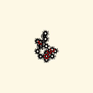 c1ccc(-c2cc(-c3ccc(-n4c5ccccc5c5c6oc7ccccc7c6ccc54)c(-c4nc(-c5ccccc5)nc(-c5cccc(-c6cccc(N7c8ccccc8B8c9ccccc9N(c9ccccc9)c9cccc7c98)c6)c5)n4)c3)nc(-c3ccccc3)n2)cc1